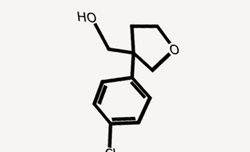 OCC1(c2ccc(Cl)cc2)CCOC1